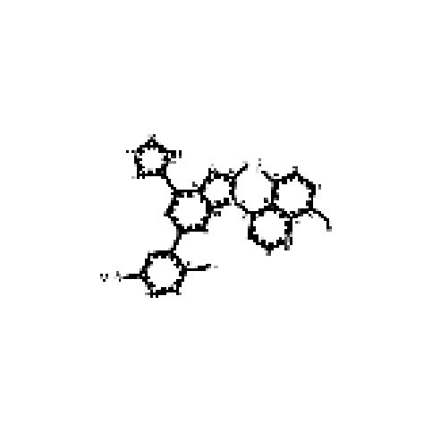 CNc1cc(-c2cc(-c3nnc[nH]3)c3nc(C)n(-c4ccnc5c(F)ccc(F)c45)c3c2)c(F)cn1